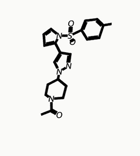 CC(=O)N1CCC(n2cc(-c3cccn3S(=O)(=O)c3ccc(C)cc3)cn2)CC1